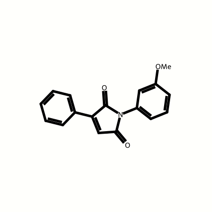 COc1cccc(N2C(=O)C=C(c3ccccc3)C2=O)c1